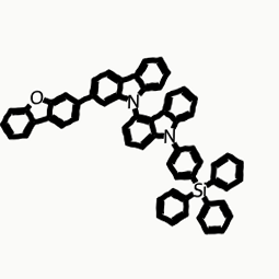 c1ccc([Si](c2ccccc2)(c2ccccc2)c2ccc(-n3c4ccccc4c4c(-n5c6ccccc6c6ccc(-c7ccc8c(c7)oc7ccccc78)cc65)cccc43)cc2)cc1